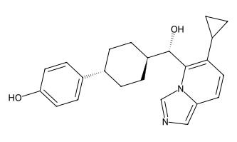 Oc1ccc([C@H]2CC[C@H]([C@H](O)c3c(C4CC4)ccc4cncn34)CC2)cc1